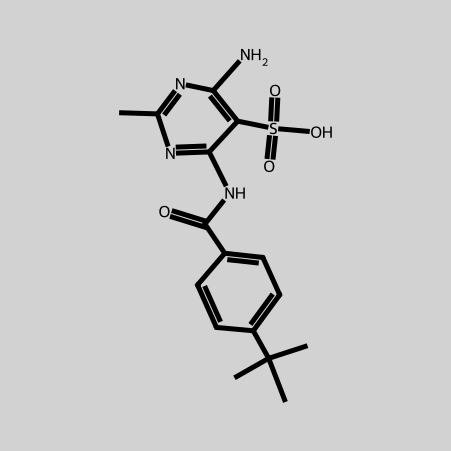 Cc1nc(N)c(S(=O)(=O)O)c(NC(=O)c2ccc(C(C)(C)C)cc2)n1